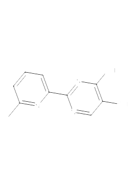 Cc1cccc(-c2ncc(O)c(O)n2)n1